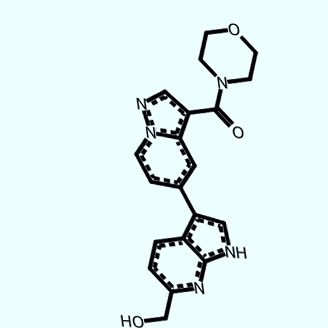 O=C(c1cnn2ccc(-c3c[nH]c4nc(CO)ccc34)cc12)N1CCOCC1